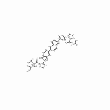 COC(=O)N[C@H](C(=O)N1CCCN1c1nc2cc(-c3ccc4cc(-c5cnc([C@@H]6CCCN6C(=O)[C@@H](C)C(C)C)[nH]5)ccc4c3)ccc2[nH]1)C(C)C